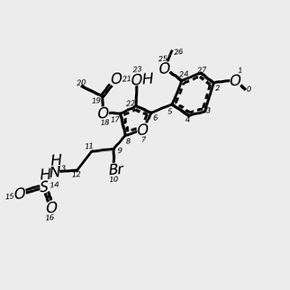 COc1ccc(-c2oc(C(Br)CCN[SH](=O)=O)c(OC(C)=O)c2O)c(OC)c1